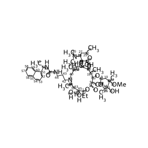 CC[C@H]1OC(=O)[C@H](C)[C@@H](O[C@H]2C[C@@](C)(OC)[C@@H](O)[C@H](C)O2)[C@H](C)[C@@H](O[C@@H]2O[C@H](C)C[C@H](N(C)C)[C@H]2O)[C@](C)(O)C[C@@H](C)CN(CCCNC(=O)NC(C)c2cccc3ccccc23)[C@H](C)[C@@H](O)[C@@]1(O)I